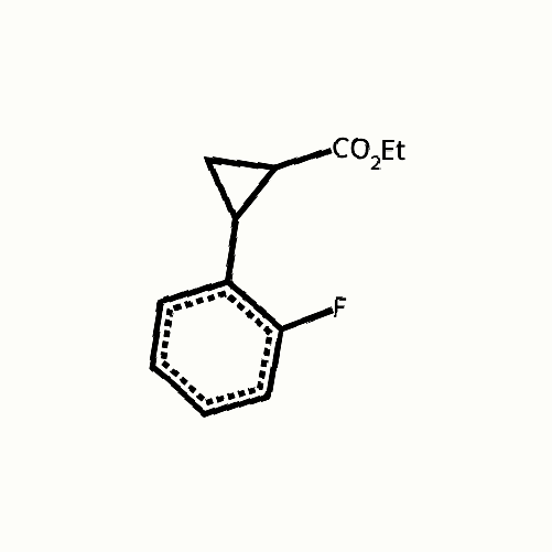 CCOC(=O)C1CC1c1ccccc1F